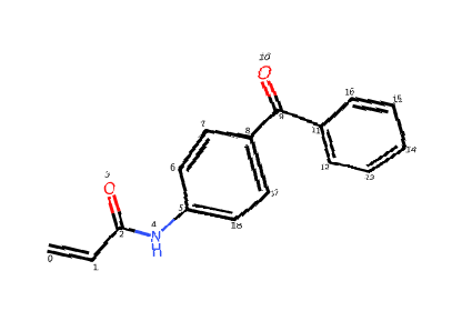 C=CC(=O)Nc1ccc(C(=O)c2ccccc2)cc1